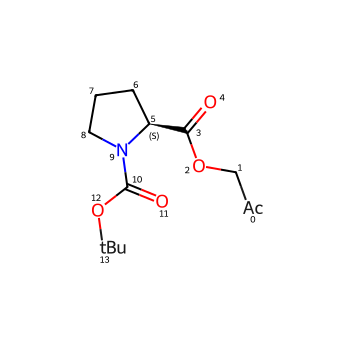 CC(=O)COC(=O)[C@@H]1CCCN1C(=O)OC(C)(C)C